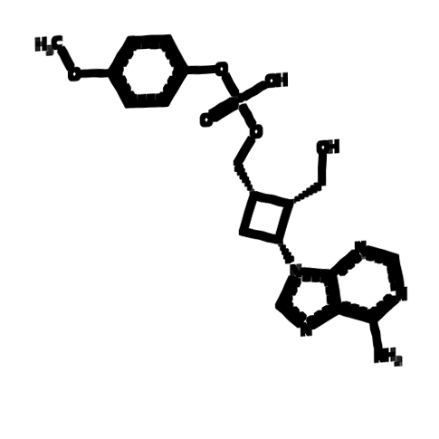 COc1ccc(OP(=O)(O)OC[C@H]2C[C@@H](n3cnc4c(N)ncnc43)[C@H]2CO)cc1